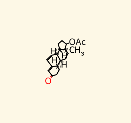 CC(=O)OC1CC[C@H]2[C@@H]3C=CC4=CC(=O)CC[C@@H]4[C@H]3CC[C@]12C